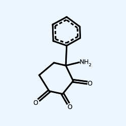 NC1(c2ccccc2)CCC(=O)C(=O)C1=O